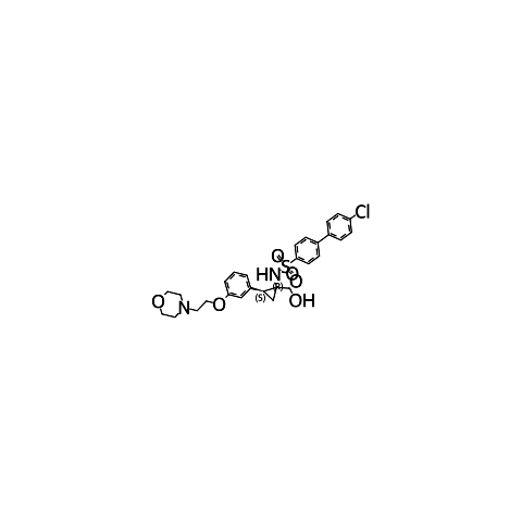 O=C(O)[C@@]1(NS(=O)(=O)c2ccc(-c3ccc(Cl)cc3)cc2)C[C@H]1c1cccc(OCCN2CCOCC2)c1